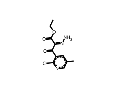 CCOC(=O)C(=NN)C(=O)c1cc(I)cnc1Cl